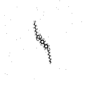 C=CCCCCCCOc1ccc(-c2ccc(C3OCC(CCCCCCCC)CO3)cc2)cc1